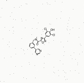 CN(Cc1cccc(-c2cncnc2)c1)C(=O)c1nc(-c2cc(Cl)c(O)c(Cl)c2)no1